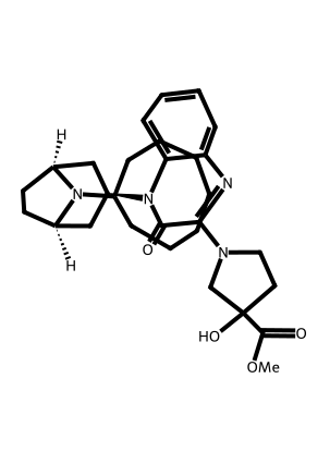 COC(=O)C1(O)CCN(c2nc3ccccc3n([C@H]3C[C@H]4CC[C@@H](C3)N4C3CCCCCCC3)c2=O)C1